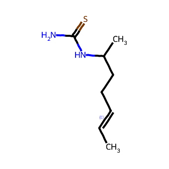 C/C=C/CCC(C)NC(N)=S